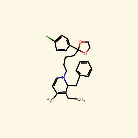 CCC1=C(C)C=CN(CCCCC2(c3ccc(F)cc3)OCCO2)C1Cc1ccccc1